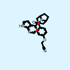 N#CCOc1ccc(C(=O)N2C3CCC2CN(c2ncnc4[nH]ccc24)C3)cc1